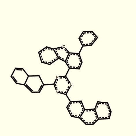 C1=CC2=CC=C(c3nc(-c4ccc5ccc6ccccc6c5c4)nc(-c4ccc(-c5ccccc5)c5oc6ccccc6c45)n3)CC2C=C1